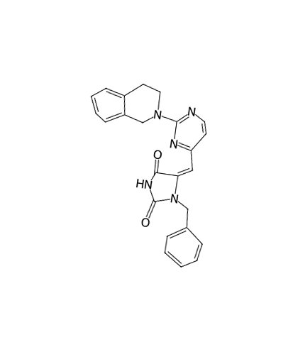 O=C1NC(=O)N(Cc2ccccc2)C1=Cc1ccnc(N2CCc3ccccc3C2)n1